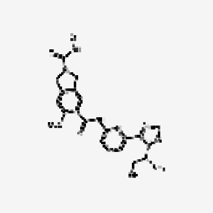 CCNC(=O)N1Cc2cc(OC)c(C(=O)Nc3cccc(-c4nnnn4[C@H](C)CO)n3)cc2C1